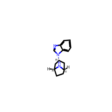 c1ccc2c(c1)ncn2[C@H]1C[C@H]2CC[C@@H](C1)N2